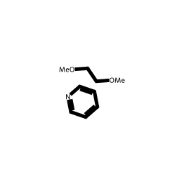 COCCOC.c1ccncc1